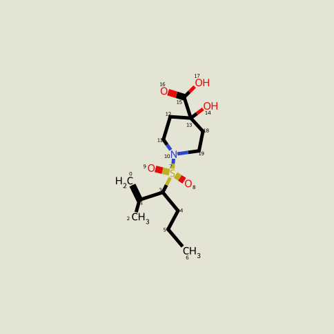 C=C(C)C(CCC)S(=O)(=O)N1CCC(O)(C(=O)O)CC1